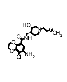 COCCN1CC[C@@H](CNC(=O)c2cc(N)c(Cl)c3c2OCCO3)[C@H](O)C1